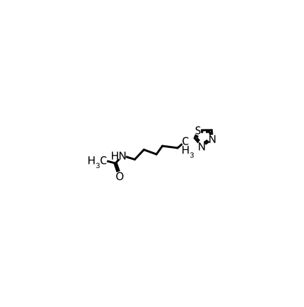 CCCCCCNC(C)=O.c1nncs1